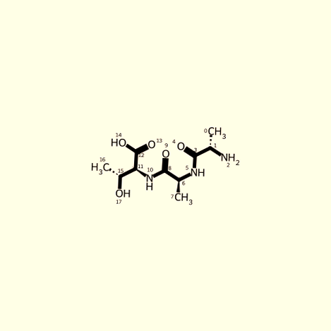 C[C@H](N)C(=O)N[C@@H](C)C(=O)N[C@H](C(=O)O)[C@@H](C)O